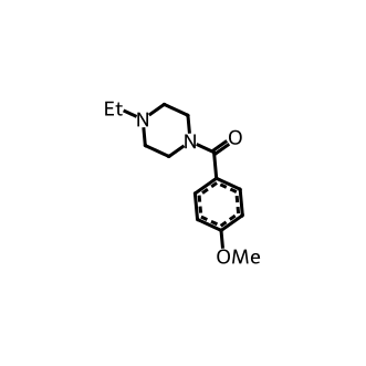 CCN1CCN(C(=O)c2ccc(OC)cc2)CC1